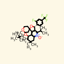 CC(C)c1c2c(c3c([n+]1[O-])CC(C)(C)CC3O[Si](C)(C)C(C)(C)C)C1(CCOCC1)O[C@@H]2c1ccc(C(F)(F)F)cc1F